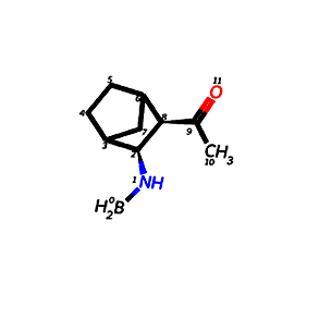 BN[C@H]1C2CCC(C2)[C@H]1C(C)=O